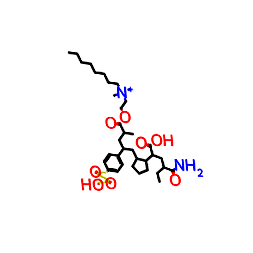 CCCCCCCC[N+](C)(C)CCOC(=O)C(C)CC(CC1CCCC1C(CC(CC)C(N)=O)C(=O)O)c1ccc(S(=O)(=O)O)cc1